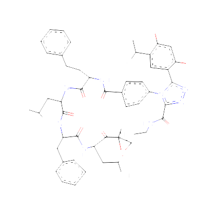 CCNC(=O)c1nnc(-c2cc(C(C)C)c(O)cc2O)n1-c1ccc(C(=O)NC(CCc2ccccc2)C(=O)NC(CC(C)C)C(=O)NC(Cc2ccccc2)C(=O)NC(CC(C)C)C(=O)C2(C)CO2)cc1